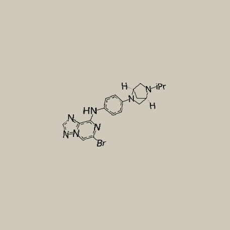 CC(C)N1C[C@H]2C[C@@H]1CN2c1ccc(Nc2nc(Br)cn3ncnc23)cc1